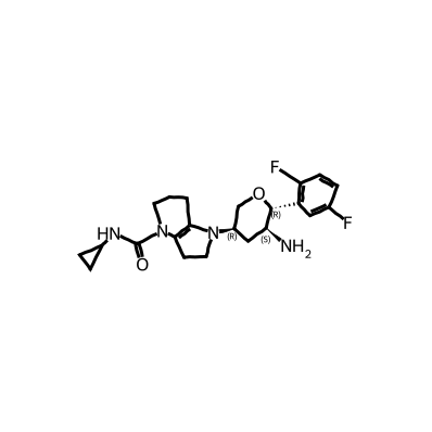 N[C@H]1C[C@@H](N2CCC3=C2CCCN3C(=O)NC2CC2)CO[C@@H]1c1cc(F)ccc1F